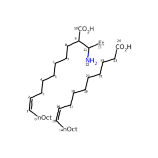 CCCCCCCC/C=C\CCCCCCC(C(=O)O)C(N)CC.CCCCCCCC/C=C\CCCCCCCC(=O)O